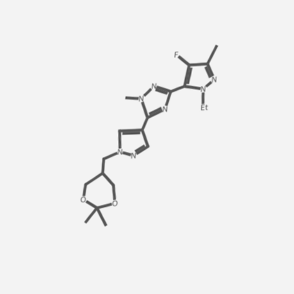 CCn1nc(C)c(F)c1-c1nc(-c2cnn(CC3COC(C)(C)OC3)c2)n(C)n1